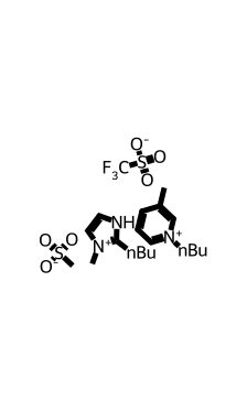 CCCC[n+]1cccc(C)c1.CCCCc1[nH]cc[n+]1C.CS(=O)(=O)[O-].O=S(=O)([O-])C(F)(F)F